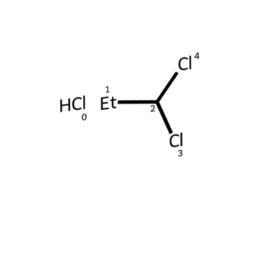 Cl.[CH2]CC(Cl)Cl